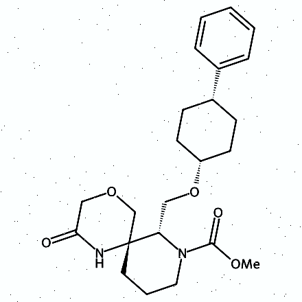 COC(=O)N1CCC[C@@]2(COCC(=O)N2)[C@@H]1CO[C@H]1CC[C@@H](c2ccccc2)CC1